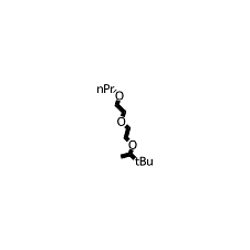 CCCOCCOCCOC(C)C(C)(C)C